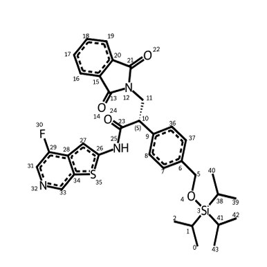 CC(C)[Si](OCc1ccc([C@@H](CN2C(=O)c3ccccc3C2=O)C(=O)Nc2cc3c(F)cncc3s2)cc1)(C(C)C)C(C)C